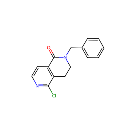 O=C1c2ccnc(Cl)c2CCN1Cc1ccccc1